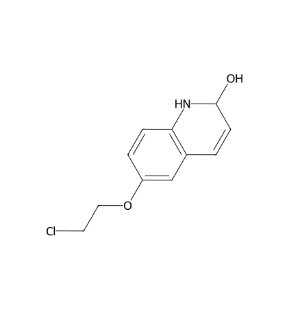 OC1C=Cc2cc(OCCCl)ccc2N1